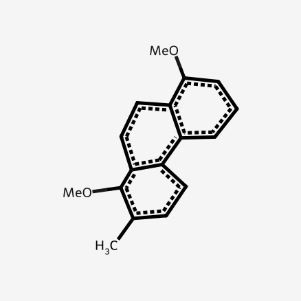 COc1cccc2c1ccc1c(OC)c(C)ccc12